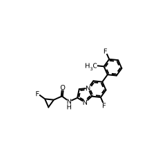 Cc1c(F)cccc1-c1cc(F)c2nc(NC(=O)C3CC3F)cn2c1